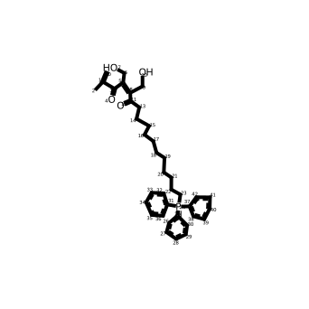 C=C(C)C(=O)/C(CO)=C(/CO)C(=O)CCCCCCCCCCC[PH](c1ccccc1)(c1ccccc1)c1ccccc1